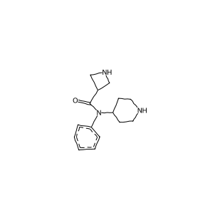 O=C(C1CNC1)N(c1ccccc1)C1CCNCC1